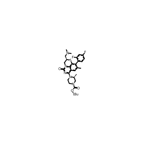 Cc1cc2c(N3CCN(C(=O)OC(C)(C)C)C[C@@H]3C)nc(=O)n3c2c(c1-c1ccc(F)cc1F)S[C@H](CN(C)C)C3